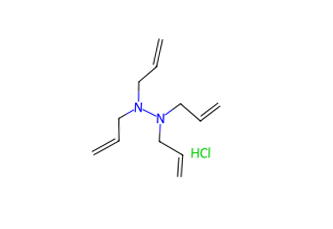 C=CCN(CC=C)N(CC=C)CC=C.Cl